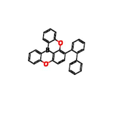 c1ccc(-c2ccccc2-c2ccc3c4c2Oc2ccccc2B4c2ccccc2O3)cc1